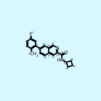 Cc1ccc(F)cc1-c1ccc2cc(C(=O)NC3CCC3)ncc2c1